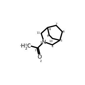 [CH2]C(=O)N1CC2CCC(CC2)C1